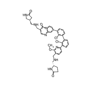 COc1nc(-c2cccc(-c3cccc(-c4ccn5c(=O)c(CNC[C@H]6CNC(=O)C6)cnc5c4)c3Cl)c2Cl)ccc1CNC[C@@H]1CCC(=O)N1